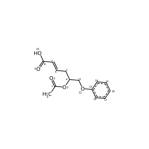 CC(=O)OC(CC=CC(=O)O)COc1ccccc1